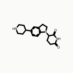 O=C1CCC(N2CCc3cc(C4CCNCC4)ccc32)C(=O)N1